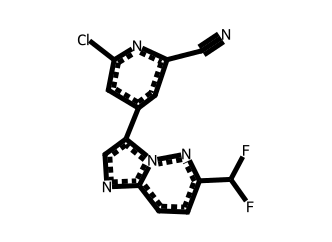 N#Cc1cc(-c2cnc3ccc(C(F)F)nn23)cc(Cl)n1